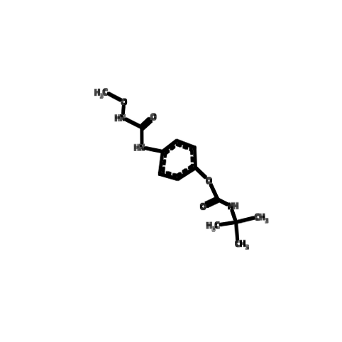 CONC(=O)Nc1ccc(OC(=O)NC(C)(C)C)cc1